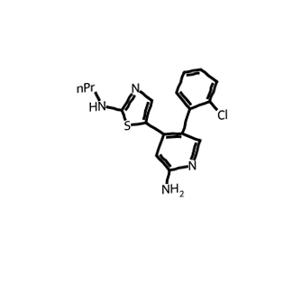 CCCNc1ncc(-c2cc(N)ncc2-c2ccccc2Cl)s1